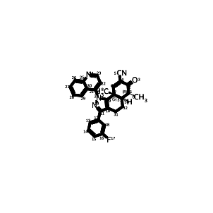 C[C@H]1C(=O)C(C#N)=C[C@@]2(C)c3c(c(-c4cccc(F)c4)nn3-c3ccnc4ccccc34)CC[C@H]12